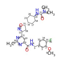 COc1cc(CNC(=O)c2cc(C3=NOC([C@H]4CC[C@H](NC(=O)N(C)C)CC4)C3)nc(C)n2)ccc1F